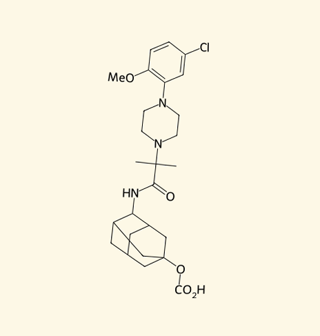 COc1ccc(Cl)cc1N1CCN(C(C)(C)C(=O)NC2C3CC4CC2CC(OC(=O)O)(C4)C3)CC1